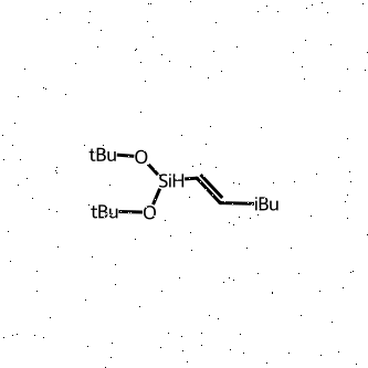 CCC(C)C=C[SiH](OC(C)(C)C)OC(C)(C)C